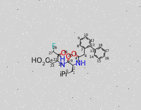 CC(C)C[C@H](NC(=O)Cc1ccccc1-c1ccccc1)C(=O)NC(CC(=O)O)C(=O)CF